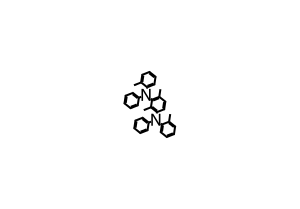 Cc1ccccc1N(c1ccccc1)c1ccc(C)c(N(c2ccccc2)c2ccccc2C)c1C